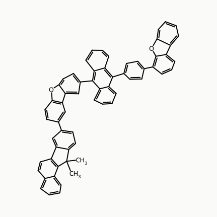 CC1(C)c2ccc(-c3ccc4oc5ccc(-c6c7ccccc7c(-c7ccc(-c8cccc9c8oc8ccccc89)cc7)c7ccccc67)cc5c4c3)cc2-c2ccc3ccccc3c21